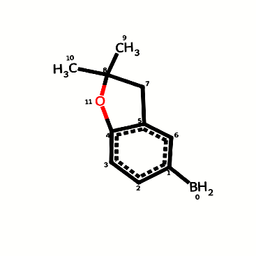 Bc1ccc2c(c1)CC(C)(C)O2